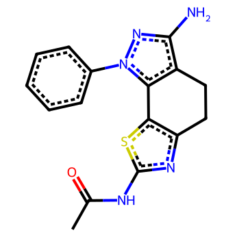 CC(=O)Nc1nc2c(s1)-c1c(c(N)nn1-c1ccccc1)CC2